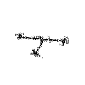 CC(=O)N[C@@H]1[C@@H](O)[C@@H](O)[C@@H](CO)C[C@H]1OCCOCCOCCOCC(=O)NCCCC[C@H](NC(=O)COCCOCCOCCO[C@@H]1O[C@H](CO)[C@H](O)[C@H](O)[C@H]1NC(C)=O)C(=O)N[C@@H](CCCCNC(=O)COCCOCCOCCO[C@H]1C[C@@H](O)[C@@H](O)[C@@H](CO)O1)C(=O)O